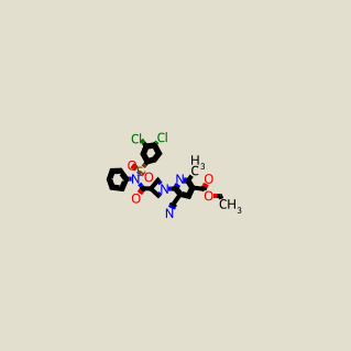 CCOC(=O)c1cc(C#N)c(N2CC(C(=O)N(c3ccccc3)S(=O)(=O)c3ccc(Cl)c(Cl)c3)C2)nc1C